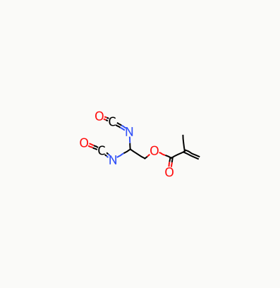 C=C(C)C(=O)OCC(N=C=O)N=C=O